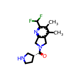 Cc1c(C(F)F)nc2c(c1C)CN(C(=O)[C@@H]1CCNC1)C2